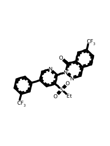 CCS(=O)(=O)c1cc(-c2cccc(C(F)(F)F)c2)cnc1-n1ncc2ccc(C(F)(F)F)cc2c1=O